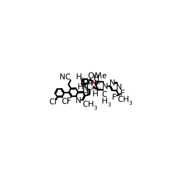 COC(=O)N1[C@@H]2C[C@@H](C(C)N(c3cc(C(C)(F)F)ncn3)C2)[C@@H]1c1cc2c(C)nc3c(F)c(-c4cccc(Cl)c4Cl)c(CCC#N)cc3c2n1[C@H]1[C@H]2CN[C@@H]1C2